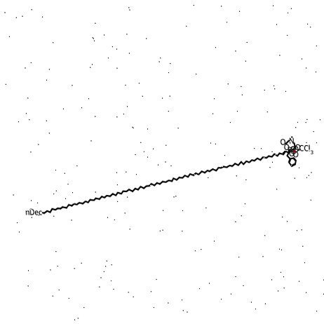 CCCCCCCCCCCCCCCCCCCCCCCCCCCCCCCCCCCCCCCCCCCCCCCCCCCCCCCCCCCCCCCCCCCCCCCCCCCCCCCCCCCCCCCCCCCCCCCC/C=C/C(Cc1ccccc1)(OS(=O)(=O)OCC(Cl)(Cl)Cl)B1OC(=O)CN(C)CC(=O)O1